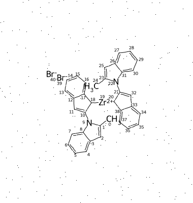 Cc1cc2ccccc2n1C1=Cc2ccccc2[CH]1[Zr+2][CH]1C(n2c(C)cc3ccccc32)=Cc2ccccc21.[Br-].[Br-]